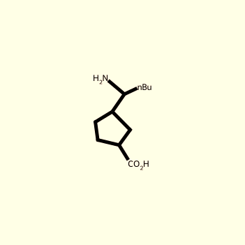 CCCCC(N)C1CCC(C(=O)O)C1